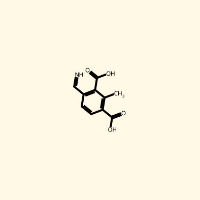 Cc1c(C(=O)O)ccc(C=N)c1C(=O)O